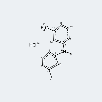 Cc1cccc(N(C)c2cccc(C(F)(F)F)c2)c1.Cl